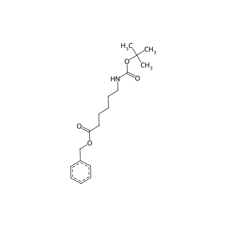 CC(C)(C)OC(=O)NCCCCCC(=O)OCc1ccccc1